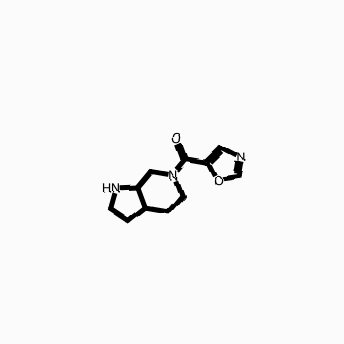 O=C(c1cnco1)N1CCC2CCNC2C1